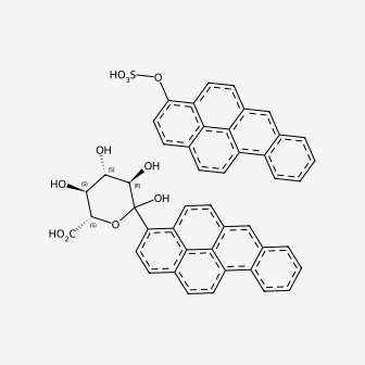 O=C(O)[C@H]1OC(O)(c2ccc3ccc4c5ccccc5cc5ccc2c3c54)[C@H](O)[C@@H](O)[C@@H]1O.O=S(=O)(O)Oc1ccc2ccc3c4ccccc4cc4ccc1c2c43